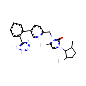 CCCCc1cn(C2C(C)CCC2CC)c(=O)n1Cc1ccc(-c2ccccc2-c2nnn[nH]2)cn1